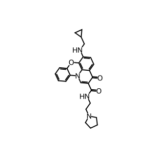 O=C(NCCN1CCCC1)c1cn2c3c(c(NCC4CC4)ccc3c1=O)Oc1ccccc1-2